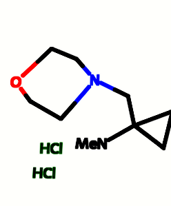 CNC1(CN2CCOCC2)CC1.Cl.Cl